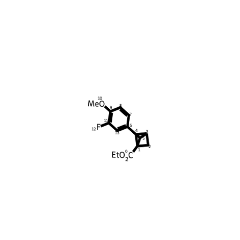 CCOC(=O)C12CC(C1)C2c1ccc(OC)c(F)c1